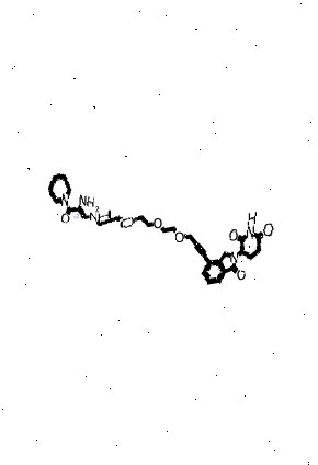 N/C(=C\NCCOCCOCCOCC#Cc1cccc2c1CN(C1CCC(=O)NC1=O)C2=O)C(=O)N1CCCCC1